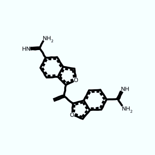 C=C(c1occ2cc(C(=N)N)ccc12)c1occ2cc(C(=N)N)ccc12